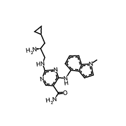 Cn1ccc2c(Nc3nc(NC[C@@H](N)CC4CC4)ncc3C(N)=O)cccc21